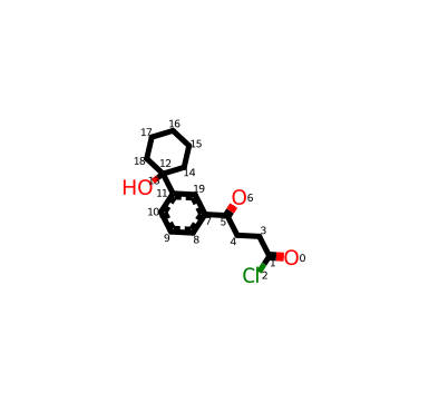 O=C(Cl)CCC(=O)c1cc[c]c(C2(O)CCCCC2)c1